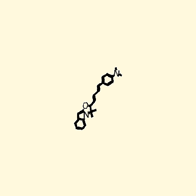 CN(C)c1ccc(C=CC=CC2Oc3cc4ccccc4n3C2(C)C)cc1